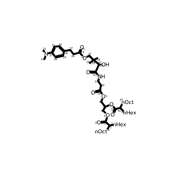 CCCCCCCCC(CCCCCC)C(=O)OCC(COC(=O)CCNC(=O)[C@H](O)C(C)(C)COC(=O)CCc1ccc(N(C)C)cc1)OC(=O)C(CCCCCC)CCCCCCCC